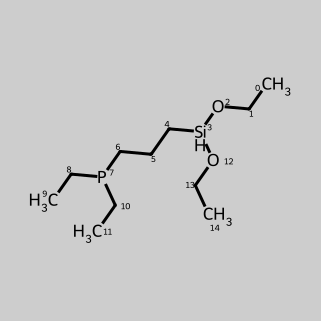 CCO[SiH](CCCP(CC)CC)OCC